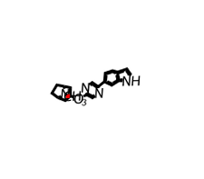 CN1C2CCC1CC(Oc1cnc(-c3ccc4cc[nH]c4c3)cn1)C2